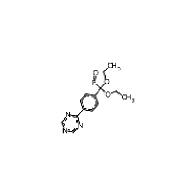 CCOC(OCC)(P=O)c1ccc(-c2ncncn2)cc1